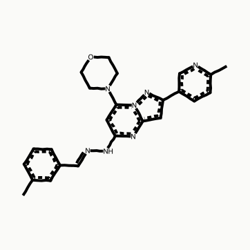 Cc1cccc(C=NNc2cc(N3CCOCC3)n3nc(-c4ccc(C)nc4)cc3n2)c1